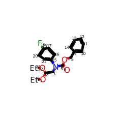 CCOC(CN(C(=O)OCc1ccccc1)c1ccc(F)cc1)OCC